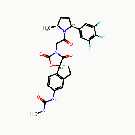 CNC(=O)Nc1ccc2c(c1)CC[C@@]21OC(=O)N(CC(=O)N2[C@@H](C)CC[C@H]2c2cc(F)c(F)c(F)c2)C1=O